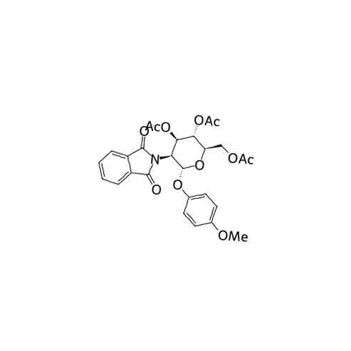 COc1ccc(O[C@H]2O[C@H](COC(C)=O)[C@@H](OC(C)=O)[C@H](OC(C)=O)[C@@H]2N2C(=O)c3ccccc3C2=O)cc1